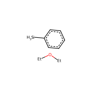 CCOCC.[SiH3]c1ccccc1